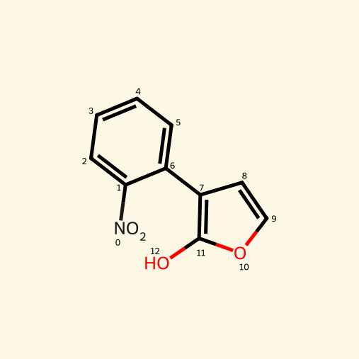 O=[N+]([O-])c1ccccc1-c1ccoc1O